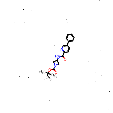 CC(C)(C)OC(=O)N1CC(NC(=O)c2ccc(-c3ccccc3)cn2)C1